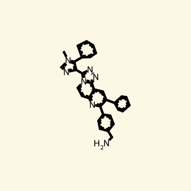 Cn1cnc(-c2nnc3c4cc(-c5ccccc5)c(-c5ccc(CN)cc5)nc4ccn23)c1-c1ccccc1